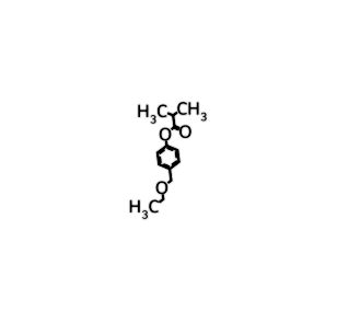 CCOCc1ccc(OC(=O)C(C)C)cc1